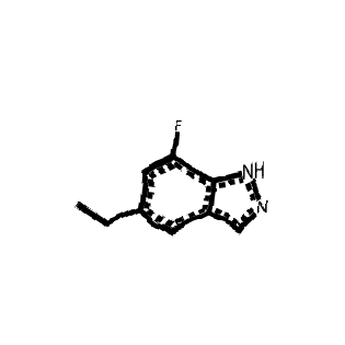 CCc1cc(F)c2[nH]ncc2c1